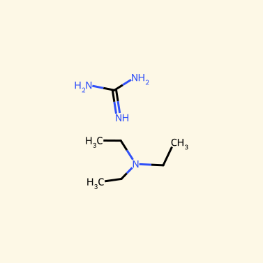 CCN(CC)CC.N=C(N)N